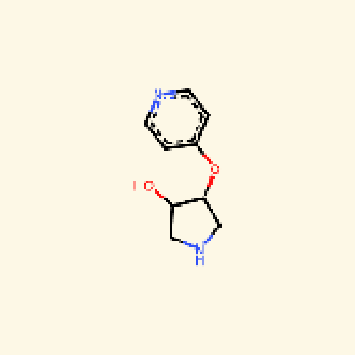 OC1CNC[C@@H]1Oc1ccncc1